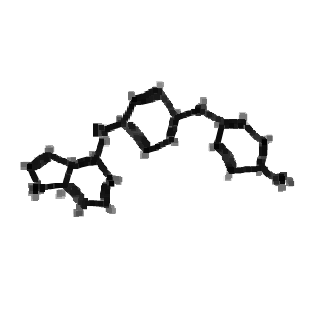 FC(F)(F)c1ccc(Oc2ccc(Nc3ncnc4[nH]ccc34)cc2)cc1